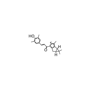 Cc1cc(/C=C/C(=O)c2sc(C)c3c2C[C@@H]2[C@H]3C2(C)C)cc(C)c1O